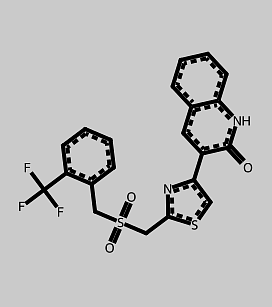 O=c1[nH]c2ccccc2cc1-c1csc(CS(=O)(=O)Cc2ccccc2C(F)(F)F)n1